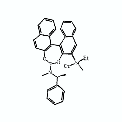 CC[Si](C)(CC)c1cc2ccccc2c2c1op(N(C)[C@@H](C)c1ccccc1)oc1ccc3ccccc3c12